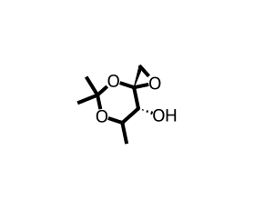 CC1OC(C)(C)O[C@@]2(CO2)[C@@H]1O